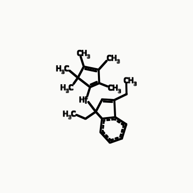 CCC1=C[C](CC)([Hf][C]2=C(C)C(C)=C(C)C2(C)C)c2ccccc21